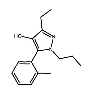 CCCn1nc(CC)c(O)c1-c1ccccc1C